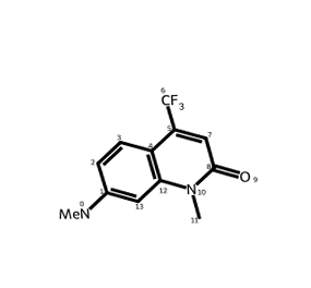 CNc1ccc2c(C(F)(F)F)cc(=O)n(C)c2c1